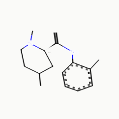 C=C(Nc1ccccc1C)[C@H]1CC(C)CCN1C